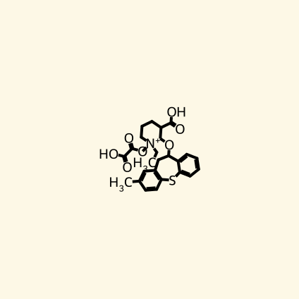 CC[N+]1(OC(=O)C(=O)O)CCCC(C(=O)O)C1OC1Cc2cc(C)ccc2Sc2ccccc21